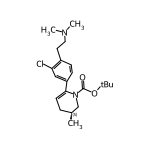 C[C@H]1CC=C(c2ccc(CCN(C)C)c(Cl)c2)N(C(=O)OC(C)(C)C)C1